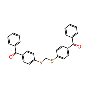 O=C(c1ccccc1)c1ccc(SCSc2ccc(C(=O)c3ccccc3)cc2)cc1